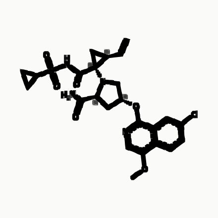 C=C[C@@H]1C[C@@]1(C(=O)NS(=O)(=O)C1CC1)N1C[C@H](Oc2ncc(OC)c3ccc(Cl)cc23)C[C@H]1C(N)=O